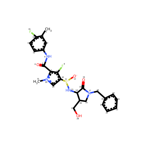 Cc1cc(NC(=O)c2c(F)c([S+]([O-])NC3C(=O)N(Cc4ccccc4)CC3CO)cn2C)ccc1F